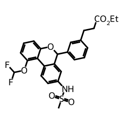 CCOC(=O)CCc1cccc(C2Oc3cccc(OC(F)F)c3-c3ccc(NS(C)(=O)=O)cc32)c1